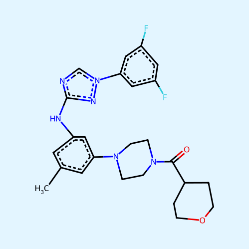 Cc1cc(Nc2ncn(-c3cc(F)cc(F)c3)n2)cc(N2CCN(C(=O)C3CCOCC3)CC2)c1